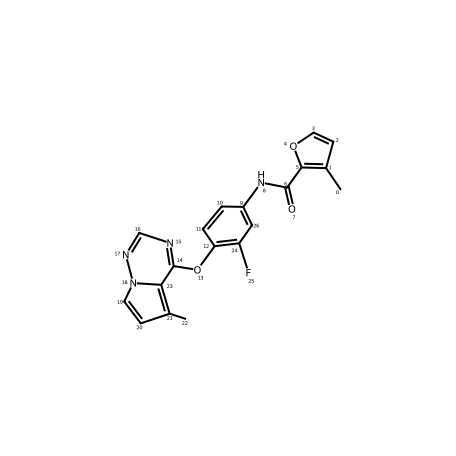 Cc1ccoc1C(=O)Nc1ccc(Oc2ncnn3ccc(C)c23)c(F)c1